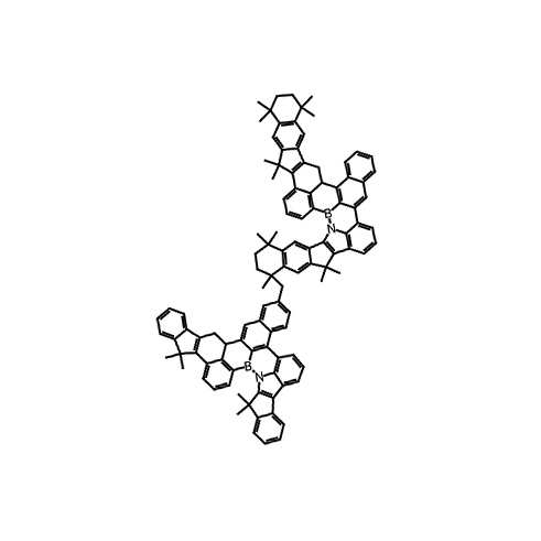 CC1(C)CCC(C)(C)c2cc3c(cc21)C1=C(c2cccc4c2C(C1)c1c2c(cc5ccccc15)-c1cccc5c6c(n(c15)B42)-c1cc2c(cc1C6(C)C)C(C)(Cc1ccc4c5c6c(cc4c1)C1CC4=C(c7cccc(c71)B6n1c6c(c7cccc-5c71)-c1ccccc1C6(C)C)C(C)(C)c1ccccc14)CCC2(C)C)C3(C)C